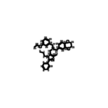 CCCn1c(-c2ccccc2)nc(C)c1CN(Cc1cccc(OCC)c1)Cc1ccc2c(c1)OCCO2